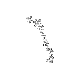 CCC(CO)OC(COC(=O)NNCCNC(=O)CCOCCOCCNC(=O)CCN1C(=O)CC(SCC(N)C(=O)O)C1=O)OC